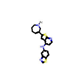 CC(=O)N1CCCC=C(c2cc3c(Nc4ccc5scnc5c4)ccnc3s2)C1